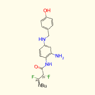 CCCC[C@@H](F)[C@@H](F)C(=O)Nc1ccc(NCc2ccc(O)cc2)cc1N